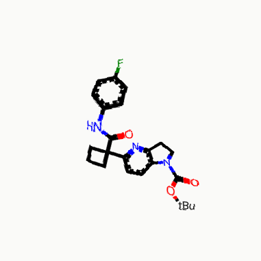 CC(C)(C)OC(=O)N1CCc2nc(C3(C(=O)Nc4ccc(F)cc4)CCC3)ccc21